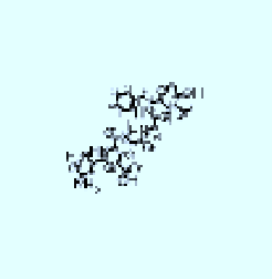 CC(C)[C@H](NC(=O)[C@H](Cc1ccccc1)NC(=O)[C@H](C)NC(=O)[C@H](C)NC(=O)[C@H](CCC(=O)O)NC(=O)[C@@H](N)CC(N)=O)C(=O)O